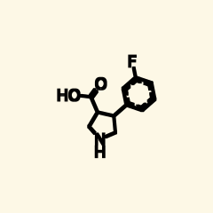 O=C(O)C1CNCC1c1cccc(F)c1